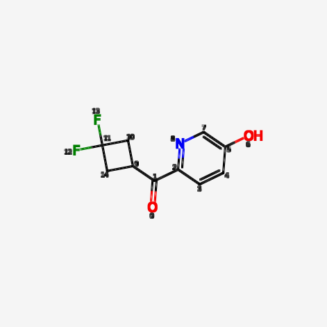 O=C(c1ccc(O)cn1)C1CC(F)(F)C1